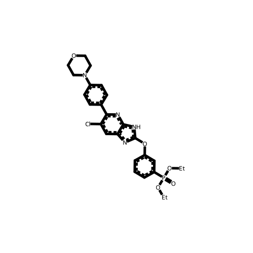 CCOP(=O)(OCC)c1cccc(Oc2nc3cc(Cl)c(-c4ccc(N5CCOCC5)cc4)nc3[nH]2)c1